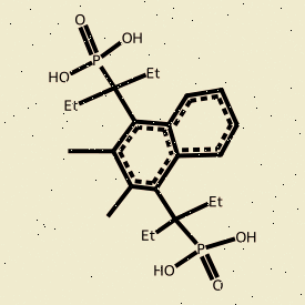 CCC(CC)(c1c(C)c(C)c(C(CC)(CC)P(=O)(O)O)c2ccccc12)P(=O)(O)O